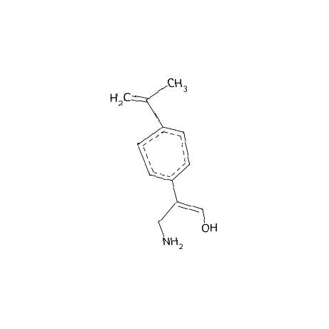 C=C(C)c1ccc(/C(=C/O)CN)cc1